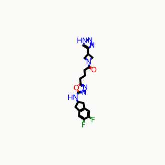 O=C(CCCc1nnc(NC2Cc3cc(F)c(F)cc3C2)o1)N1CC(c2c[nH]nn2)C1